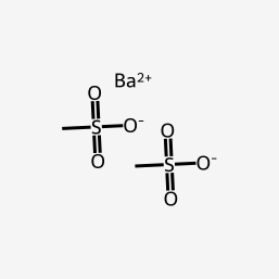 CS(=O)(=O)[O-].CS(=O)(=O)[O-].[Ba+2]